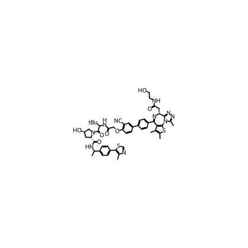 Cc1ncsc1-c1ccc(C(C)NC(=O)[C@@H]2C[C@@H](O)CN2C(=O)C(NC(=O)COc2ccc(-c3ccc(C4=N[C@@H](CC(=O)NCCO)c5nnc(C)n5-c5sc(C)c(C)c54)cc3)cc2C#N)C(C)(C)C)cc1